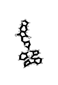 O=C1/C(=C\c2ccc(N3c4ccccc4[Si]4(c5ccccc5-c5ccccc54)c4ccccc43)s2)C(=O)c2cc3sccc3cc21